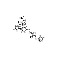 CNC(=S)NS(=O)(=O)c1cc(CCNC(=O)/C=C/c2cccs2)ccc1-c1ccco1